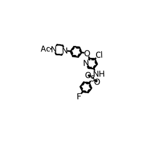 CC(=O)N1CCN(c2ccc(Oc3ncc(NS(=O)(=O)c4ccc(F)cc4)cc3Cl)cc2)CC1